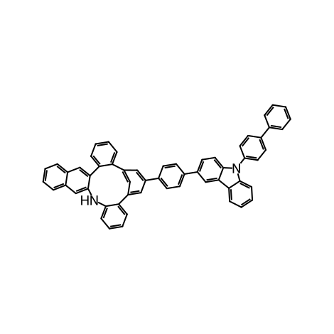 c1ccc(-c2ccc(-n3c4ccccc4c4cc(-c5ccc(-c6cc7cc(c6)-c6ccccc6-c6cc8ccccc8cc6Nc6ccccc6-7)cc5)ccc43)cc2)cc1